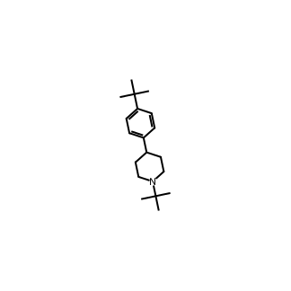 CC(C)(C)c1ccc(C2CCN(C(C)(C)C)CC2)cc1